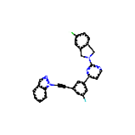 Fc1cc(C#Cn2ncc3ccccc32)cc(-c2ccnc(N3Cc4ccc(Cl)cc4C3)n2)c1